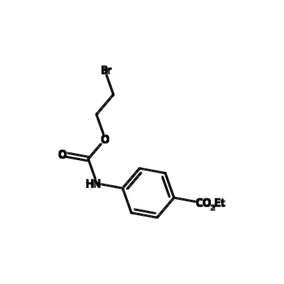 CCOC(=O)c1ccc(NC(=O)OCCBr)cc1